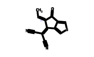 C/C=C1\C(=O)c2cscc2C1=C(C#N)C#N